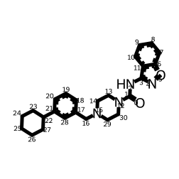 O=C(Nc1noc2ccccc12)N1CCN(Cc2cccc(C3CCCCC3)c2)CC1